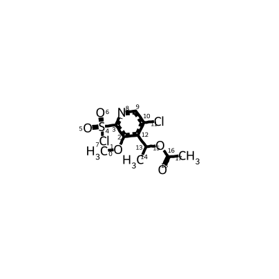 COc1c(S(=O)(=O)Cl)ncc(Cl)c1C(C)OC(C)=O